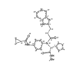 CC(C)(C)NC(=O)C(c1ccsc1)N(C(=O)CCc1nc2ccccc2[nH]1)c1ccc(NC(=O)C2CC2)cc1